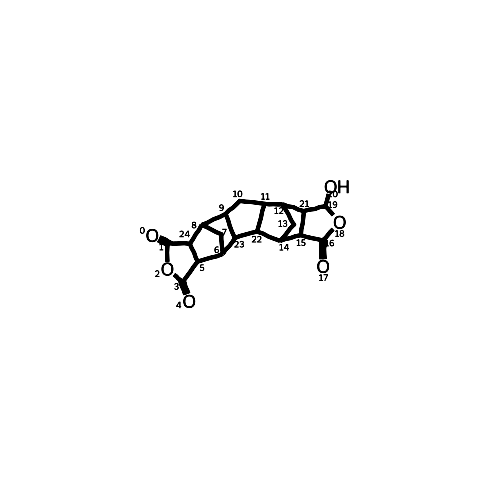 O=C1OC(=O)C2C3CC(C4CC5C6CC(C7C(=O)OC(O)C67)C5C43)C12